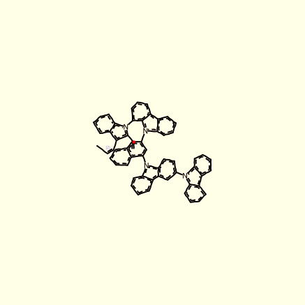 C=Cc1c(/C=C\C)c2ccccc2n1-c1cccc2c3ccccc3n(-c3cc(-n4c5ccccc5c5cc(-n6c7ccccc7c7ccccc76)ccc54)c4ccccc4c3)c12